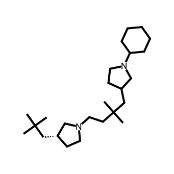 CC(C)(C)C[C@H]1CCN(CCC(C)(C)CC2CCN(C3CCCCC3)C2)C1